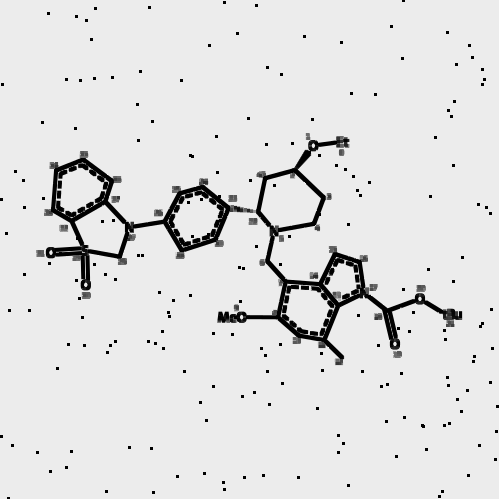 CCO[C@H]1CCN(Cc2c(OC)cc(C)c3c2ccn3C(=O)OC(C)(C)C)[C@H](c2ccc(N3CS(=O)(=O)c4ccccc43)cc2)C1